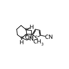 CN1C[C@H]2CCC[C@@H](C1)[C@@]2(O)c1ccc(C#N)s1